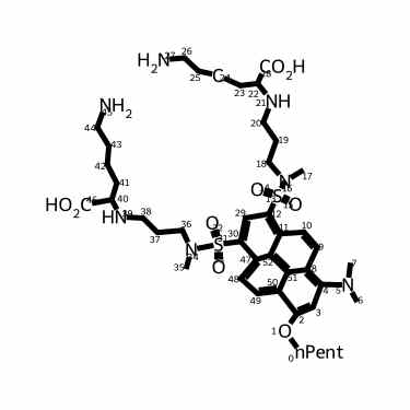 CCCCCOc1cc(N(C)C)c2ccc3c(S(=O)(=O)N(C)CCCNC(CCCCN)C(=O)O)cc(S(=O)(=O)N(C)CCCNC(CCCCN)C(=O)O)c4ccc1c2c43